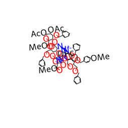 COC(=O)C1O[C@H](OC(C)=O)C(OC(C)=O)[C@H](OCc2ccccc2)[C@@H]1O[C@H]1OC(COCc2ccccc2)[C@@H](O[C@@H]2OC(C(=O)OC)[C@@H](O[C@H]3OC(COCc4ccccc4)[C@H](OCc4ccc(OC)cc4)[C@@H](OCc4ccccc4)C3N=[N+]=[N-])[C@@H](OCc3ccccc3)C2OC(C)=O)[C@@H](OCc2ccccc2)C1N=[N+]=[N-]